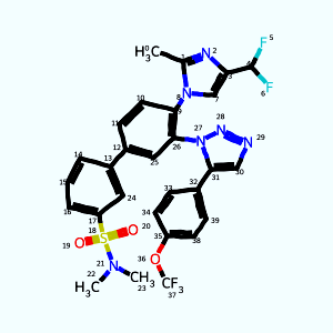 Cc1nc(C(F)F)cn1-c1ccc(-c2cccc(S(=O)(=O)N(C)C)c2)cc1-n1nncc1-c1ccc(OC(F)(F)F)cc1